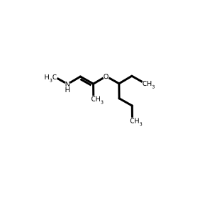 CCCC(CC)O/C(C)=C/NC